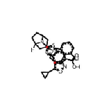 O=C(O)c1ccc2nc(N3C4CC[C@H]3CC(OCc3c(-c5c(Cl)cccc5Cl)noc3C3CC3)C4)sc2c1